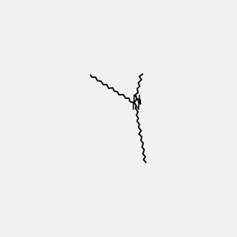 CCCCCCCCCCCCCCCCCCN1C=CN(CCCCCCCC)C1CCCCCCCCCCCCCCCC